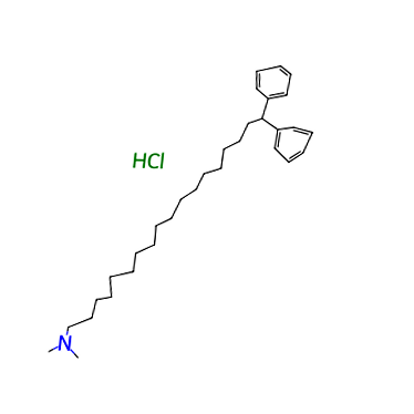 CN(C)CCCCCCCCCCCCCCCCCC(c1ccccc1)c1ccccc1.Cl